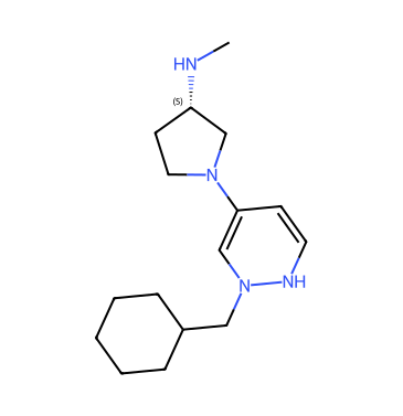 CN[C@H]1CCN(C2=CN(CC3CCCCC3)NC=C2)C1